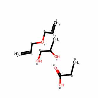 C=CCOCC=C.CC(O)CO.CCC(=O)O